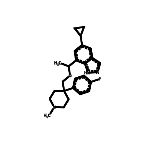 CC(OCC1(c2ccc(F)cc2)CCN(C)CC1)c1cc(C2CC2)cc2cn[nH]c12